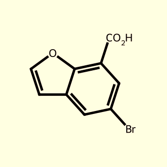 O=C(O)c1cc(Br)cc2ccoc12